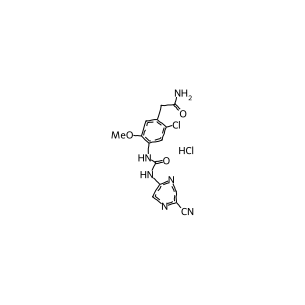 COc1cc(CC(N)=O)c(Cl)cc1NC(=O)Nc1cnc(C#N)cn1.Cl